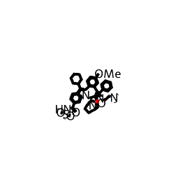 COc1ccc2c(c1)C1CC1(C(=O)N1C3CCC1CC(N(CCN(C)C)Cc1ccccc1)C3)Cn1c-2c(C2CCCCC2)c2ccc(C(=O)NS(C)(=O)=O)cc21